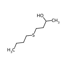 CCCCSCCC(C)O